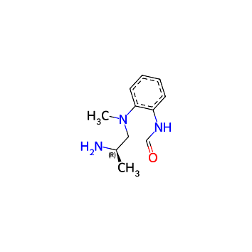 C[C@@H](N)CN(C)c1ccccc1NC=O